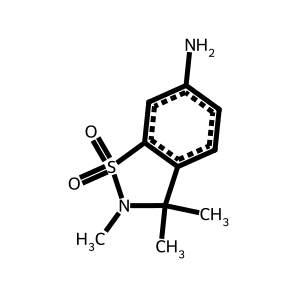 CN1C(C)(C)c2ccc(N)cc2S1(=O)=O